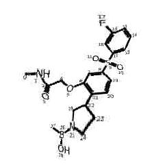 CNC(=O)COc1cc(S(=O)(=O)c2cccc(F)c2)ccc1C1CCN(B(C)O)C1